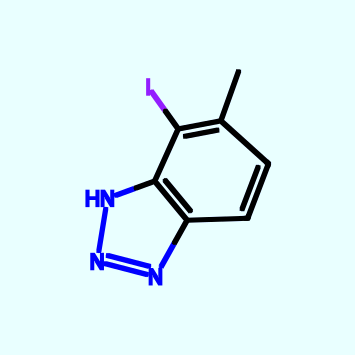 Cc1ccc2nn[nH]c2c1I